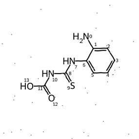 Nc1ccccc1NC(=S)NC(=O)O